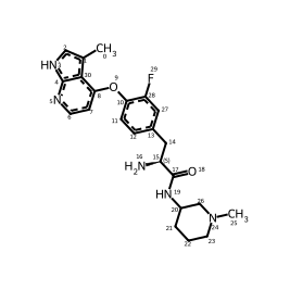 Cc1c[nH]c2nccc(Oc3ccc(C[C@H](N)C(=O)NC4CCCN(C)C4)cc3F)c12